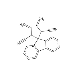 C=CC(C#N)C1(C(C#N)C=C)c2ccccc2-c2ccccc21